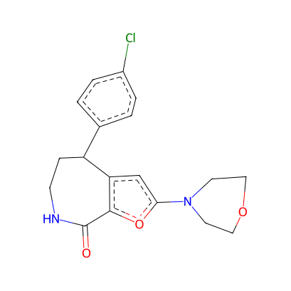 O=C1NCCC(c2ccc(Cl)cc2)c2cc(N3CCOCC3)oc21